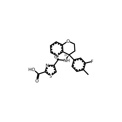 Cc1ccc([C@@]2(NC(=O)c3csc(C(=O)O)n3)CCOc3cccnc32)cc1F